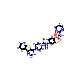 O=S(=O)(Nc1ncccn1)c1ccc(NC(=S)N2CCN(c3ncnc4c3sc3ncccc34)CC2)cc1